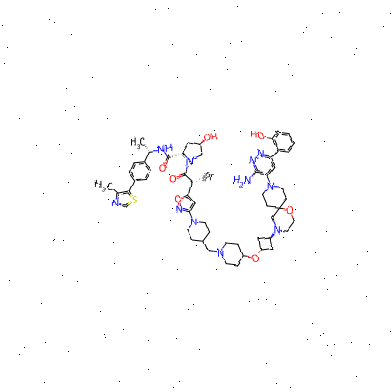 Cc1ncsc1-c1ccc([C@H](C)NC(=O)[C@@H]2C[C@@H](O)CN2C(=O)[C@@H](c2cc(N3CCC(CN4CCC(O[C@H]5C[C@H](N6CCOC7(CCN(c8cc(-c9ccccc9O)nnc8N)CC7)C6)C5)CC4)CC3)no2)C(C)C)cc1